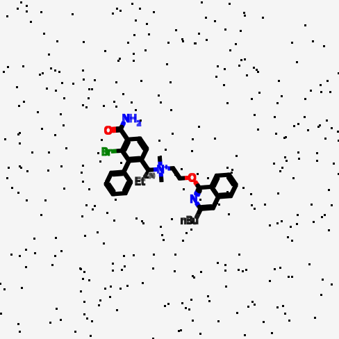 CCCCc1cc2ccccc2c(OCC[N+](C)(C)[C@@H](CC)c2ccc(C(N)=O)c(Br)c2-c2ccccc2)n1